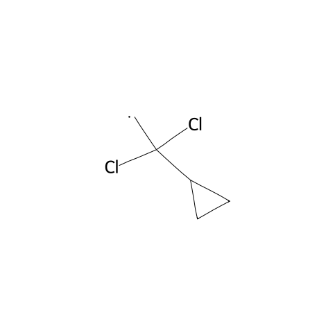 [CH2]C(Cl)(Cl)C1CC1